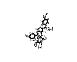 COc1ccc(C(O)c2cccc(CC3(Sc4ccc(C)cc4)SC(=O)NC3=O)c2)cc1